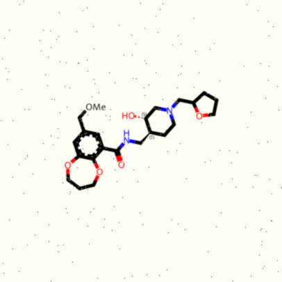 COCc1cc2c(c(C(=O)NC[C@@H]3CCN(CC4CCCO4)C[C@H]3O)c1)OCCCO2